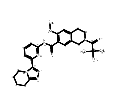 COc1cc2c(cc1C(=O)Nc1cccc(-c3nnc4n3CCCC4)n1)CN(C(=O)C(C)(C)C)CC2